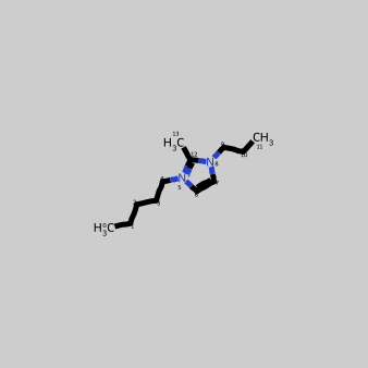 CCCCC[n+]1ccn(CCC)c1C